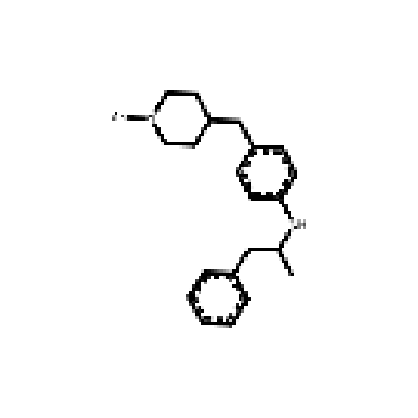 CC(=O)N1CCC(Cc2ccc(NC(C)Cc3ccccc3)cc2)CC1